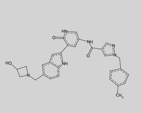 Cc1ccc(Cn2cc(C(=O)Nc3c[nH]c(=O)c(-c4cc5cc(CN6CC(O)C6)ccc5[nH]4)c3)cn2)cc1